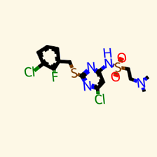 CN(C)CCS(=O)(=O)Nc1cc(Cl)nc(SCc2cccc(Cl)c2F)n1